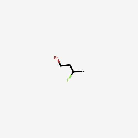 [CH2]C(F)CCBr